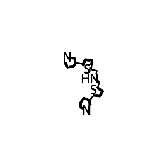 c1cncc(-c2ccc(CNCc3ccc(-c4cccnc4)s3)s2)c1